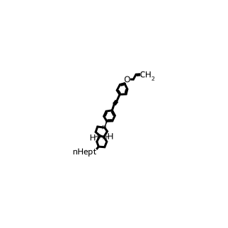 C=CCOc1ccc(C#Cc2ccc([C@@H]3CC[C@@H]4CC(CCCCCCC)CC[C@@H]4C3)cc2)cc1